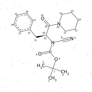 CC(C)(C)OC(=O)N(C#N)[C@@H](Cc1ccccc1)C(=O)N1CCCCC1